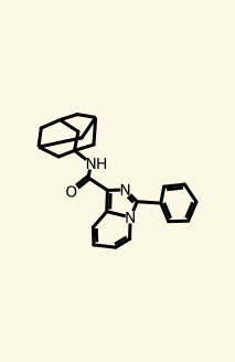 O=C(NC12CC3CC(CC(C3)C1)C2)c1nc(-c2ccccc2)n2ccccc12